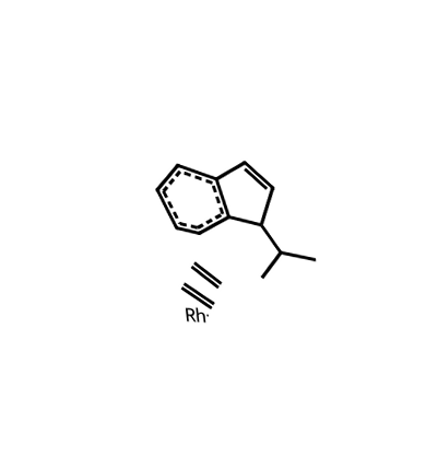 C=C.C=C.CC(C)C1C=Cc2ccccc21.[Rh]